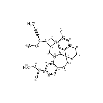 CC#C[C@H](OC)[C@@H]1CC[C@H]1CN1C[C@@]2(CCCc3cc(Cl)ccc32)COc2ccc(C(=O)OC)cc21